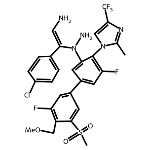 COCc1c(F)cc(-c2cc(F)c(-n3cc(C(F)(F)F)nc3C)c(N(N)/C(=C\N)c3ccc(Cl)cc3)c2)cc1S(C)(=O)=O